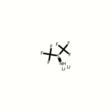 N=S(C(F)(F)F)C(F)(F)F.[Li].[Li]